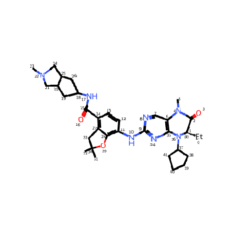 CC[C@@H]1C(=O)N(C)c2cnc(Nc3ccc(C(=O)NC4CC5CN(C)CC5C4)c4c3OC(C)(C)C4)nc2N1C1CCCC1